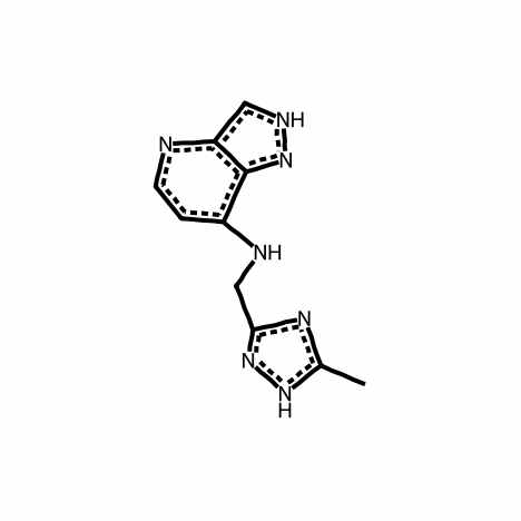 Cc1nc(CNc2ccnc3c[nH]nc23)n[nH]1